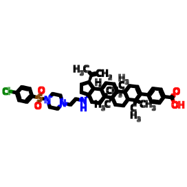 C=C(C)[C@@H]1CC[C@]2(NCCN3CCN(S(=O)(=O)c4ccc(Cl)cc4)CC3)CC[C@]3(C)[C@H](CCC4[C@@]5(C)CC=C(c6ccc(C(=O)O)cc6)C(C)(C)C5CC[C@]43C)C12